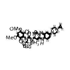 COc1cc(OC)c(Cl)c(N(C(=O)OC(C)(C)C)C(=O)N(C)c2cc(Nc3ccc(N4CCN(C5CC5)CC4)cc3[N+](=O)[O-])ncn2)c1Cl